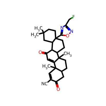 CC1(C)CCC2(c3nc(CF)no3)CCC3C(C(=O)C=C4C5(C)C=C(C#N)C(=O)CC5CCC43C)C2C1